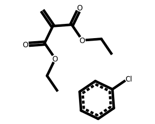 C=C(C(=O)OCC)C(=O)OCC.Clc1ccccc1